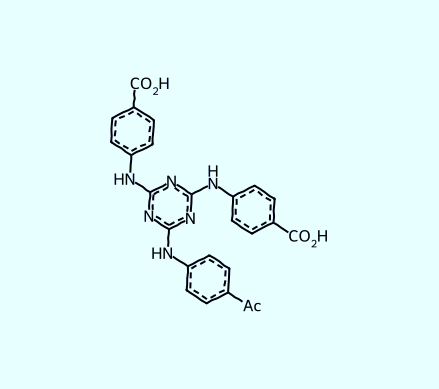 CC(=O)c1ccc(Nc2nc(Nc3ccc(C(=O)O)cc3)nc(Nc3ccc(C(=O)O)cc3)n2)cc1